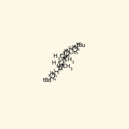 CC(C)(C)C1CCN(CCC2CN(C(C)(C)CCC(C)(C)N3CCN(C[C@@H]4CCCN(C(C)(C)C)C4)CC3)C2)CC1